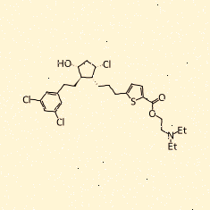 CCN(CC)CCOC(=O)c1ccc(CCC[C@@H]2[C@@H](CCc3cc(Cl)cc(Cl)c3)[C@H](O)C[C@@H]2Cl)s1